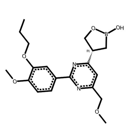 CCCOc1cc(-c2nc(COC)cc([C@@H]3COB(O)C3)n2)ccc1OC